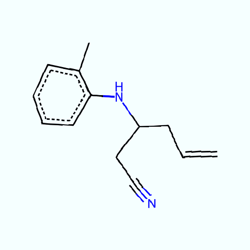 C=CCC(CC#N)Nc1ccccc1C